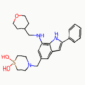 OS1(O)CCN(Cc2cc(NCC3CCOCC3)c3[nH]c(-c4ccccc4)cc3c2)CC1